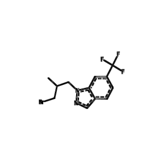 CC(CBr)Cn1ncc2ccc(C(F)(F)F)cc21